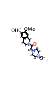 COc1cc2c(cc1C=O)CCN(C(=O)CN1CCN(C)CC1)C2